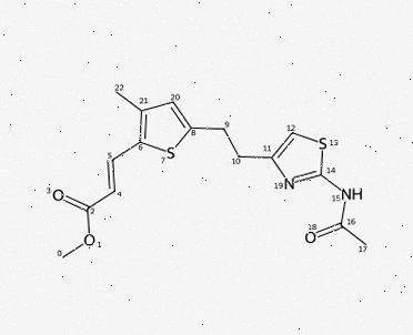 COC(=O)C=Cc1sc(CCc2csc(NC(C)=O)n2)cc1C